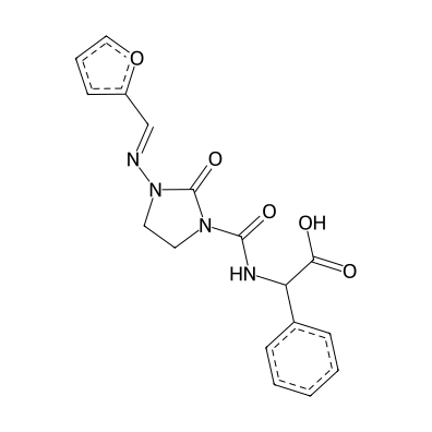 O=C(O)C(NC(=O)N1CCN(N=Cc2ccco2)C1=O)c1ccccc1